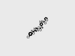 CN(C(=O)Oc1cnc(-c2nc3ccc(Cl)cc3o2)cn1)[C@@H]1CC[C@H](NC(=O)[C@@H]2CCCO2)C1